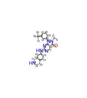 CC(C)n1c(=O)c2cnc(Nc3ccc4c(c3)CNCC4)nc2n1-c1cccc(C(C)(C)C)c1